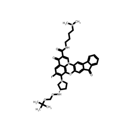 CN(C)CCCCNC(=O)c1cn2c3cc4c(cc3oc3c(N5CC[C@H](NOCOC(C)(C)C)C5)c(F)cc(c1=O)c32)c(=O)c1ccccc14